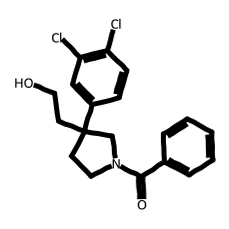 O=C(c1ccccc1)N1CCC(CCO)(c2ccc(Cl)c(Cl)c2)C1